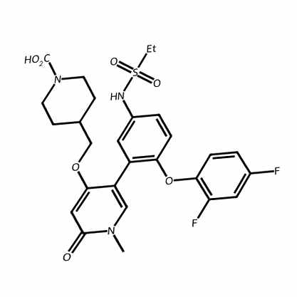 CCS(=O)(=O)Nc1ccc(Oc2ccc(F)cc2F)c(-c2cn(C)c(=O)cc2OCC2CCN(C(=O)O)CC2)c1